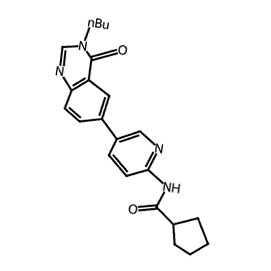 CCCCn1cnc2ccc(-c3ccc(NC(=O)C4CCCC4)nc3)cc2c1=O